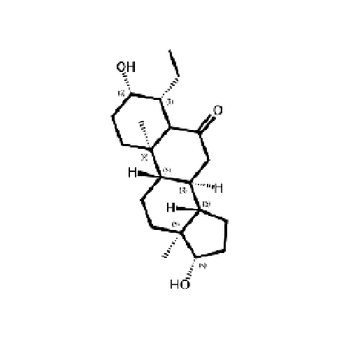 CC[C@@H]1C2C(=O)C[C@H]3[C@@H]4CC[C@H](O)[C@@]4(C)CC[C@@H]3[C@@]2(C)CC[C@@H]1O